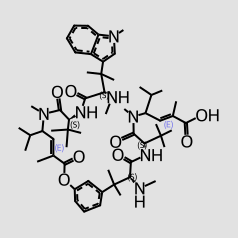 CN[C@H](C(=O)N[C@H](C(=O)N(C)C(/C=C(\C)C(=O)O)C(C)C)C(C)(C)C)C(C)(C)c1cccc(OC(=O)/C(C)=C/C(C(C)C)N(C)C(=O)[C@@H](NC(=O)[C@@H](NC)C(C)(C)c2cn(C)c3ccccc23)C(C)(C)C)c1